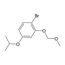 COCOc1cc(OC(C)C)ccc1Br